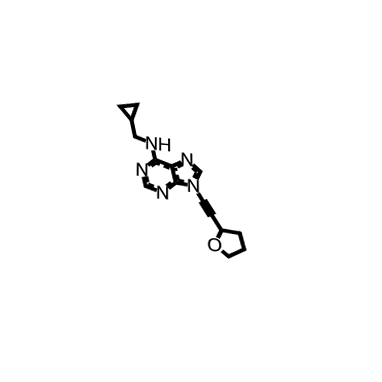 C(#Cn1cnc2c(NCC3CC3)ncnc21)C1CCCO1